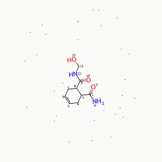 NC(=O)C1CC=CCC1C(=O)NCO